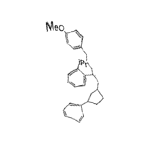 COc1ccc(CCC[C](CC2CCC(c3ccccc3)C2)c2ccccc2C(C)C)cc1